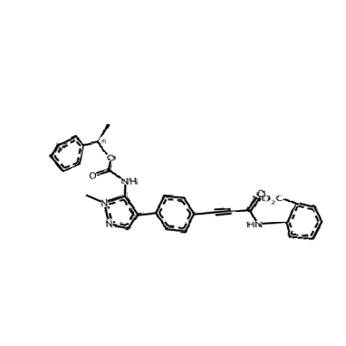 C[C@@H](OC(=O)Nc1c(-c2ccc(C#CC(=O)Nc3ccccc3C(=O)O)cc2)cnn1C)c1ccccc1